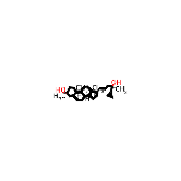 C[C@]1(O)CC[C@@]2(C)C(=CC[C@H]3[C@@H]4CC[C@H](CCC[C@@](C)(O)C5CC5)[C@@]4(C)CC[C@@H]32)C1